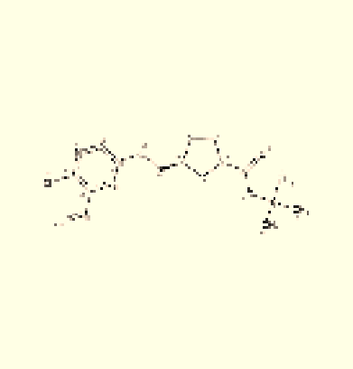 CC(C)(C)OC(=O)N1CC[C@H](COc2cnc(Cl)c(C=O)c2)C1